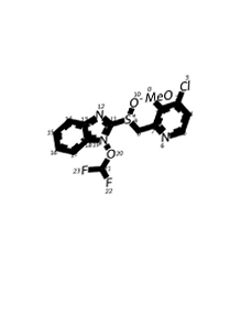 COc1c(Cl)ccnc1C[S+]([O-])c1nc2ccccc2n1OC(F)F